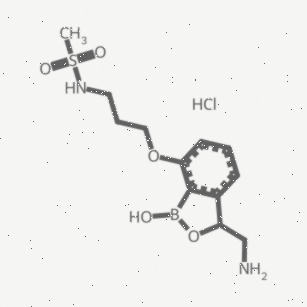 CS(=O)(=O)NCCCOc1cccc2c1B(O)OC2CN.Cl